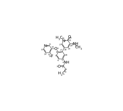 C=CC(=O)Nc1ccc(Oc2cnccc2F)c(-c2cc(NC)c(=O)n(C)c2)c1